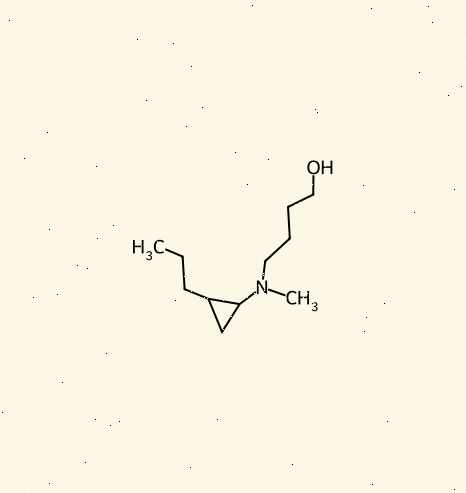 CCCC1CC1N(C)CCCCO